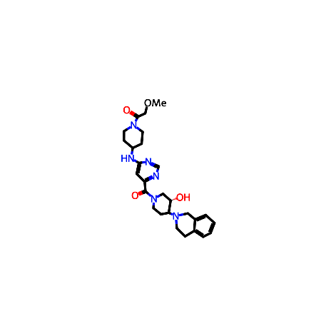 COCC(=O)N1CCC(Nc2cc(C(=O)N3CCC(N4CCc5ccccc5C4)[C@@H](O)C3)ncn2)CC1